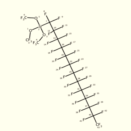 FC(F)(F)O[Si](OC(F)(F)F)(OC(F)(F)F)C(F)(F)C(F)(F)C(F)(F)C(F)(F)C(F)(F)C(F)(F)C(F)(F)C(F)(F)C(F)(F)C(F)(F)C(F)(F)C(F)(F)C(F)(F)F